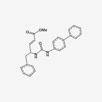 COC(=O)C=CC(Cc1ccccc1)NC(=O)Nc1ccc(-c2ccccc2)cc1